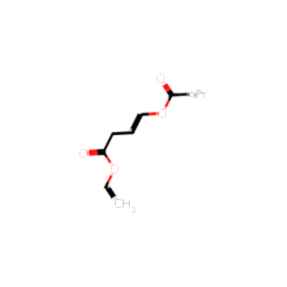 C=COC(=O)CC=COC(=O)CCC